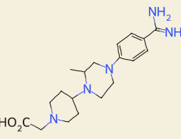 CC1CN(c2ccc(C(=N)N)cc2)CCN1C1CCN(CC(=O)O)CC1